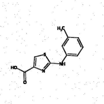 Cc1cccc(Nc2nc(C(=O)O)cs2)c1